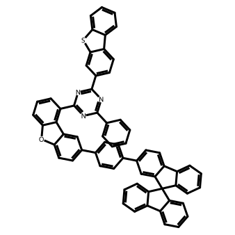 c1ccc(-c2nc(-c3ccc4c(c3)sc3ccccc34)nc(-c3cccc4oc5ccc(-c6ccc(-c7ccc8c(c7)C7(c9ccccc9-c9ccccc97)c7ccccc7-8)cc6)cc5c34)n2)cc1